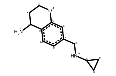 NC1CCOc2cc(CNC3CC3)ccc21